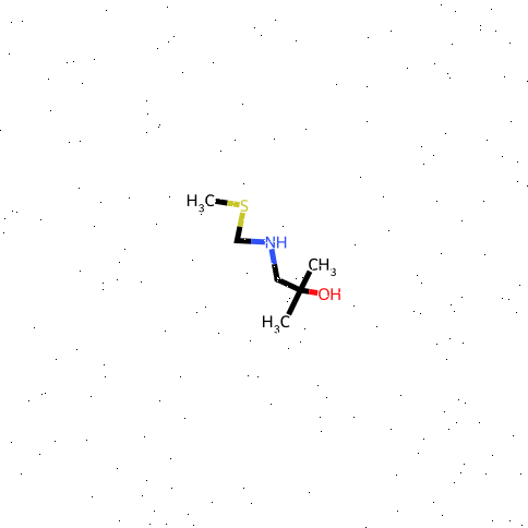 CSCNCC(C)(C)O